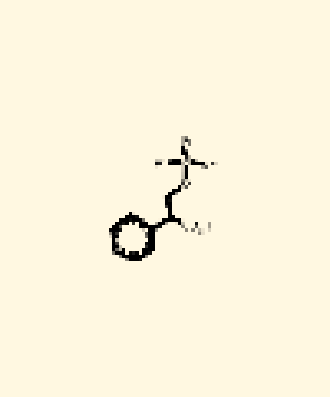 CC(C)[Si](OCC(C(=O)O)c1ccccc1)(C(C)C)C(C)C